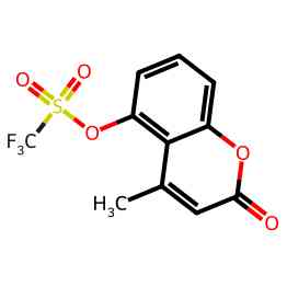 Cc1cc(=O)oc2cccc(OS(=O)(=O)C(F)(F)F)c12